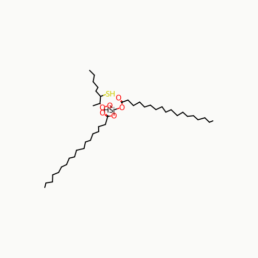 CCCCCCCCCCCCCCCCCC(=O)O[SiH](OOC(C)C(S)CCCCC)OC(=O)CCCCCCCCCCCCCCCCC